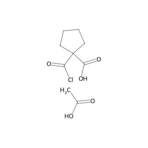 CC(=O)O.O=C(O)C1(C(=O)Cl)CCCC1